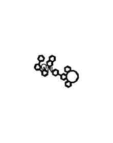 C1=CC2=C(CC1)c1cc(C3=CC=C(N(c4cccc5c4oc4c(-c6ccccc6)cccc45)C4C=c5ccccc5=CC4)CC3)ccc1-c1ccccc1C/C=C\C=C/C2